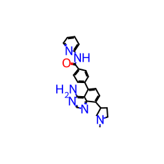 CN1CCC(c2ccc(-c3ccc(C(=O)Nc4ccccn4)cc3)c3c(N)ncnc23)C1